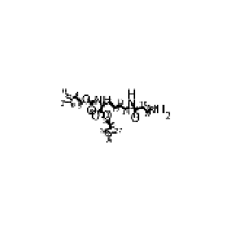 CS(C)(C)CCOC(=O)N[C@@H](CCCCNC(=O)CCN)C(=O)OCCS(C)(C)C